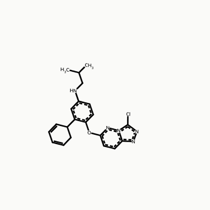 CC(C)CNc1ccc(Oc2ccc3nnc(Cl)n3n2)c(C2C=CC=CC2)c1